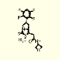 Cn1c(CC(=O)NC2COC2)c2n(c1=S)C[C@@H](c1c(F)c(F)cc(F)c1F)C2